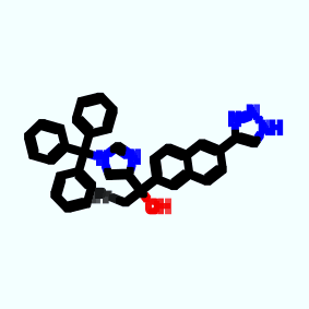 CC(C)CC(O)(c1ccc2cc(-c3c[nH]nn3)ccc2c1)c1cn(C(c2ccccc2)(c2ccccc2)c2ccccc2)cn1